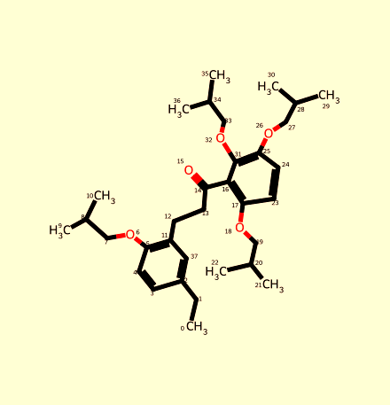 CCc1ccc(OCC(C)C)c(CCC(=O)c2c(OCC(C)C)ccc(OCC(C)C)c2OCC(C)C)c1